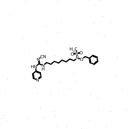 CS(=O)(=O)N(CCCCCCCCN/C(=N\C#N)Nc1ccncc1)OCc1ccccc1